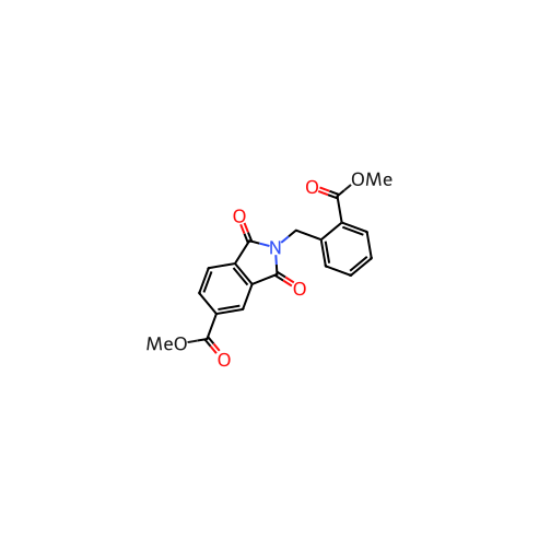 COC(=O)c1ccc2c(c1)C(=O)N(Cc1ccccc1C(=O)OC)C2=O